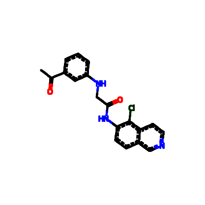 CC(=O)c1cccc(NCC(=O)Nc2ccc3cnccc3c2Cl)c1